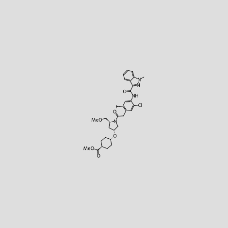 COC[C@@H]1C[C@@H](O[C@H]2CC[C@H](C(=O)OC)CC2)CN1C(=O)Cc1cc(Cl)c(NC(=O)c2nn(C)c3ccccc23)cc1F